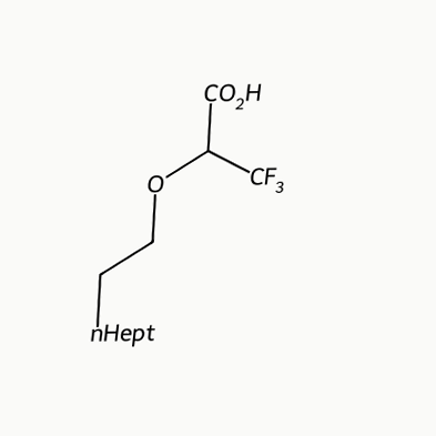 CCCCCCCCCOC(C(=O)O)C(F)(F)F